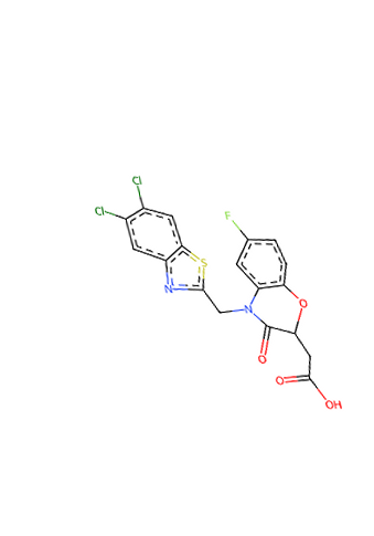 O=C(O)CC1Oc2ccc(F)cc2N(Cc2nc3cc(Cl)c(Cl)cc3s2)C1=O